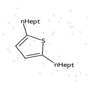 CCCCCCCc1ccc(CCCCCCC)s1